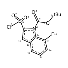 CC(C)(C)OC(=O)n1c(S(=O)(=O)Cl)cc2cccc(F)c21